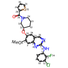 COc1cc2nc(Nc3cccc(Cl)c3F)ncc2cc1O[C@@H]1CCCN(C(=O)c2cccs2)C1